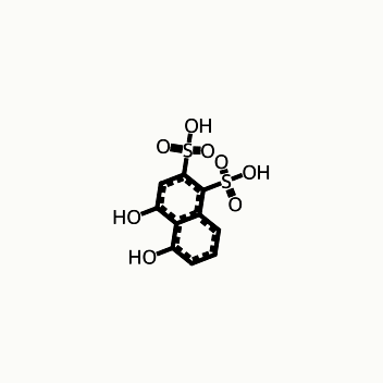 O=S(=O)(O)c1cc(O)c2c(O)cccc2c1S(=O)(=O)O